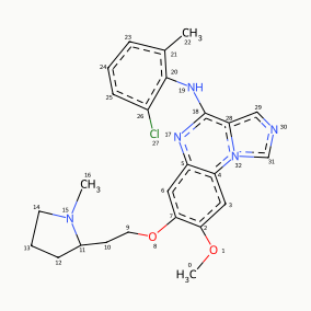 COc1cc2c(cc1OCCC1CCCN1C)nc(Nc1c(C)cccc1Cl)c1cncn12